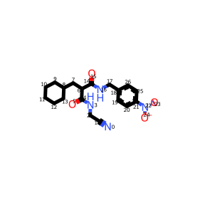 N#CCNC(=O)C(CC1CCCCC1)C(=O)NCc1ccc([N+](=O)[O-])cc1